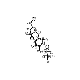 Cc1c(C)c2c(c(C)c1O[Si](C)(C)C(C)(C)C)CC[C@](C)(CCC=O)O2